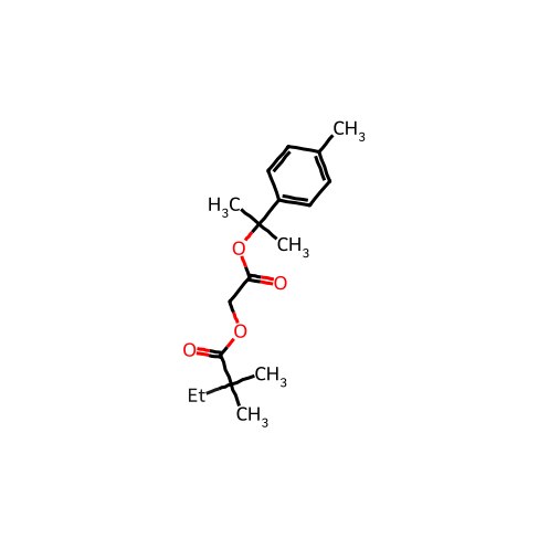 CCC(C)(C)C(=O)OCC(=O)OC(C)(C)c1ccc(C)cc1